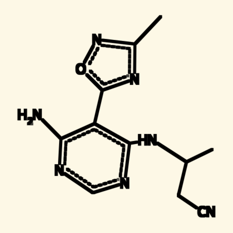 Cc1noc(-c2c(N)ncnc2NC(C)CC#N)n1